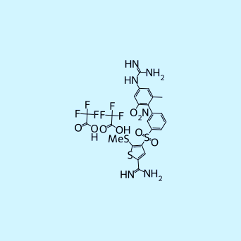 CSc1sc(C(=N)N)cc1S(=O)(=O)c1cccc(-c2c(C)cc(NC(=N)N)cc2[N+](=O)[O-])c1.O=C(O)C(F)(F)F.O=C(O)C(F)(F)F